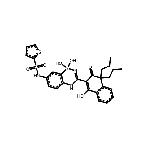 CCCC1(CCC)C(=O)C(C2=NS(O)(O)c3cc(NS(=O)(=O)c4cccs4)ccc3N2)=C(O)c2ccccc21